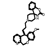 COc1ccc2c(c1)C(=CCCN1CCC3(CC1)NC(=O)Oc1ccccc13)c1cccnc1CO2